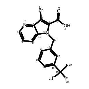 O=C(O)c1c(Br)c2ncccc2n1Cc1cccc(C(F)(F)F)c1